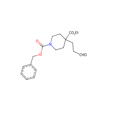 CCOC(=O)C1(CCC=O)CCN(C(=O)OCc2ccccc2)CC1